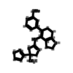 COc1cc(C2=C(NC3=NCC(C(=O)O)(c4ccon4)O3)C3=C(CC2)OCC3)ccn1